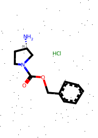 Cl.N[C@H]1CCN(C(=O)OCc2ccccc2)C1